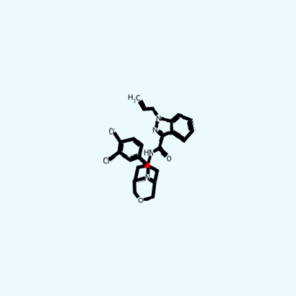 C=CCn1nc(C(=O)NC2CC3COCC(C2)N3Cc2ccc(Cl)c(Cl)c2)c2ccccc21